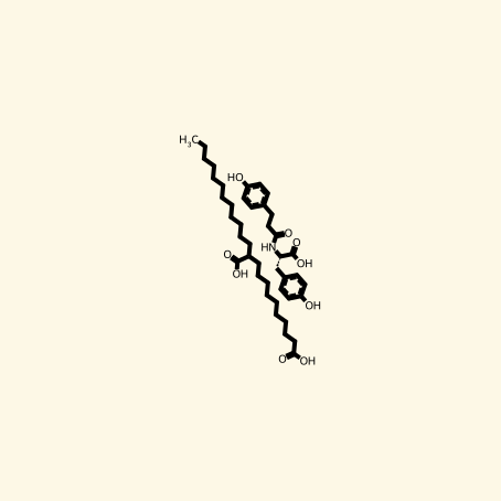 CCCCCCCCCCCCC(CCCCCCCCCC(=O)O)C(=O)O.O=C(CCc1ccc(O)cc1)N[C@@H](Cc1ccc(O)cc1)C(=O)O